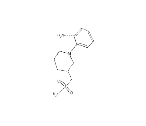 CS(=O)(=O)CC1CCCN(c2ccccc2N)C1